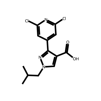 CC(C)Cn1cc(C(=O)O)c(-c2cc(Cl)nc(Cl)c2)n1